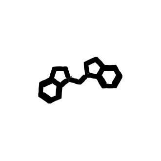 c1ccc2c(c1)CCN2CN1CCc2ccccc21